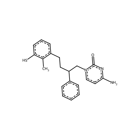 Cc1c(S)cccc1CCC(Cn1ccc(N)nc1=O)c1ccccc1